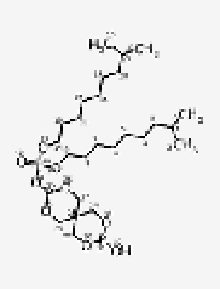 CC(C)CCCCCCCOP(=O)(OCCCCCCCC(C)C)OP1OCC2(COP(O)OC2)CO1